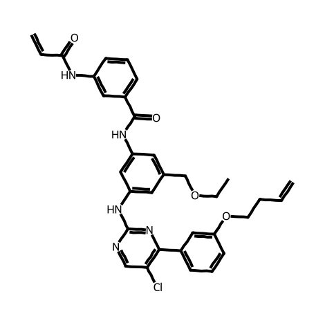 C=CCCOc1cccc(-c2nc(Nc3cc(COCC)cc(NC(=O)c4cccc(NC(=O)C=C)c4)c3)ncc2Cl)c1